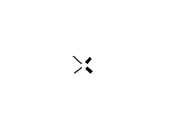 CS(=O)(=O)Cl.O